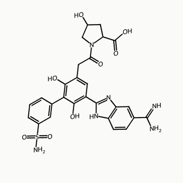 N=C(N)c1ccc2[nH]c(-c3cc(CC(=O)N4CC(O)CC4C(=O)O)c(O)c(-c4cccc(S(N)(=O)=O)c4)c3O)nc2c1